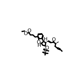 CC#CC[C@H](C)C(=O)/C=C/[C@@H]1[C@H]2c3cccc(CCCC(=O)OCC)c3O[C@H]2C[C@H]1O[Si](C)(C)C(C)(C)C